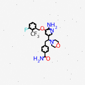 NC(=O)c1ccc(CC(c2cnc(N)c(OCc3cccc(F)c3C(F)(F)F)c2)N2CCOCC2)cc1